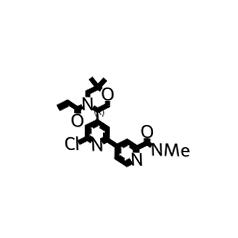 C=CC(=O)N1CC(C)(C)OC[C@H]1c1cc(Cl)nc(-c2ccnc(C(=O)NC)c2)c1